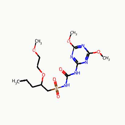 CCCC(CS(=O)(=O)NC(=O)Nc1nc(OC)nc(OC)n1)OCCOC